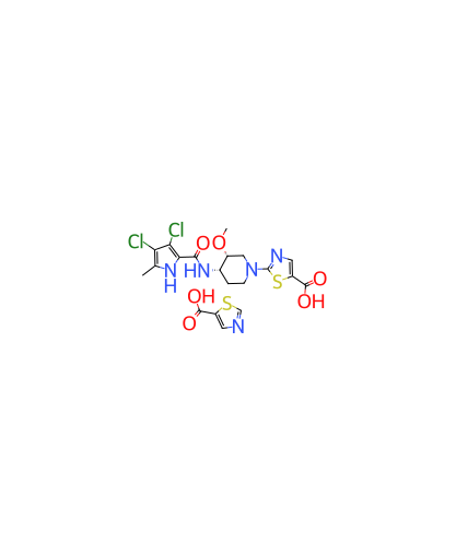 CO[C@@H]1CN(c2ncc(C(=O)O)s2)CC[C@@H]1NC(=O)c1[nH]c(C)c(Cl)c1Cl.O=C(O)c1cncs1